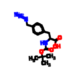 CC(C)(C)OC(=O)NC(Cc1ccc(CN=[N+]=[N-])cc1)C(=O)O